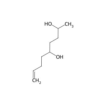 C=CCCC(O)CCC(C)O